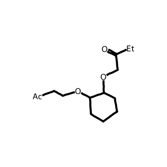 CCC(=O)COC1CCCCC1OCCC(C)=O